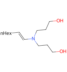 CCCCCCC=CN(CCCO)CCCO